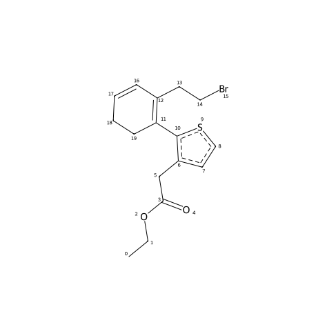 CCOC(=O)Cc1ccsc1C1=C(CCBr)C=CCC1